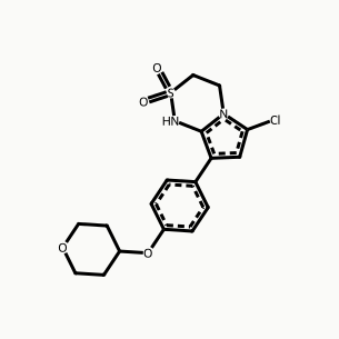 O=S1(=O)CCn2c(Cl)cc(-c3ccc(OC4CCOCC4)cc3)c2N1